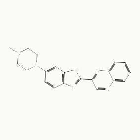 CN1CCN(c2ccc3nc(-c4cnc5ccccc5n4)[nH]c3c2)CC1